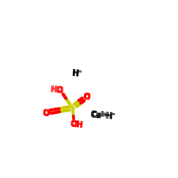 O=S(=O)(O)O.[Ca+2].[H-].[H-]